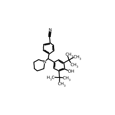 CC(C)(C)c1cc(C(c2ccc(C#N)cc2)N2CCCCC2)cc(C(C)(C)C)c1O